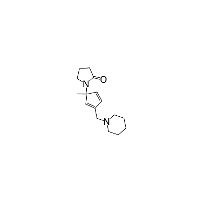 CC1(N2CCCC2=O)C=CC(CN2CCCCC2)=C1